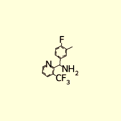 Cc1cc(C(N)c2ncccc2C(F)(F)F)ccc1F